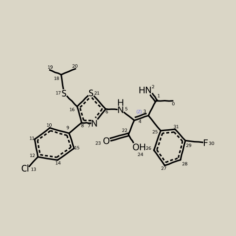 CC(=N)/C(=C(\Nc1nc(-c2ccc(Cl)cc2)c(SC(C)C)s1)C(=O)O)c1cccc(F)c1